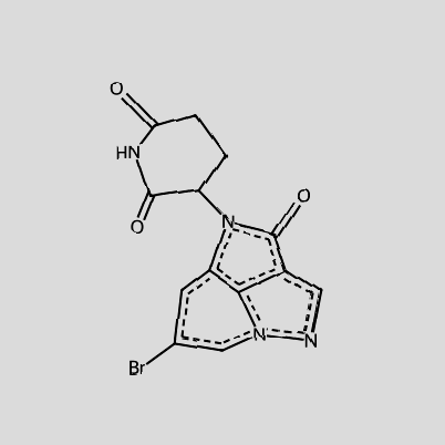 O=C1CCC(n2c(=O)c3cnn4cc(Br)cc2c34)C(=O)N1